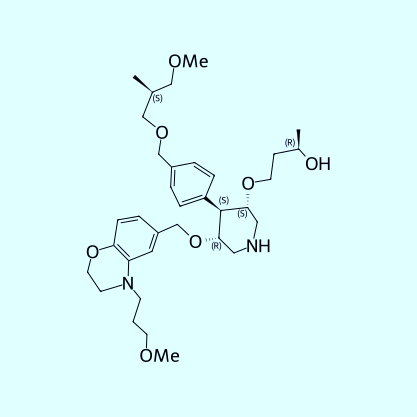 COCCCN1CCOc2ccc(CO[C@H]3CNC[C@@H](OCC[C@@H](C)O)[C@@H]3c3ccc(COC[C@@H](C)COC)cc3)cc21